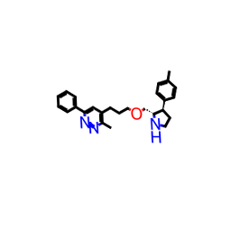 Cc1ccc([C@H]2CCN[C@@H]2COCCCc2cc(-c3ccccc3)nnc2C)cc1